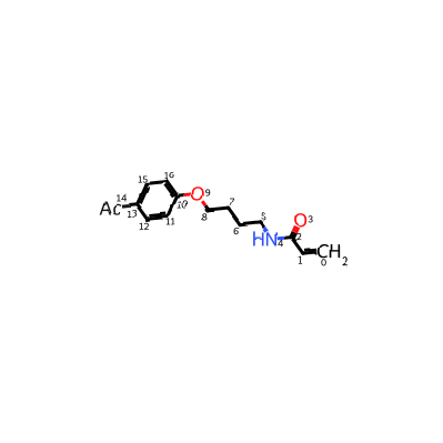 C=CC(=O)NCCCCOc1ccc(C(C)=O)cc1